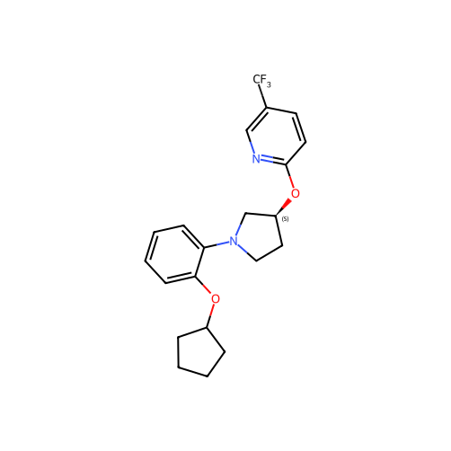 FC(F)(F)c1ccc(O[C@H]2CCN(c3ccccc3OC3CCCC3)C2)nc1